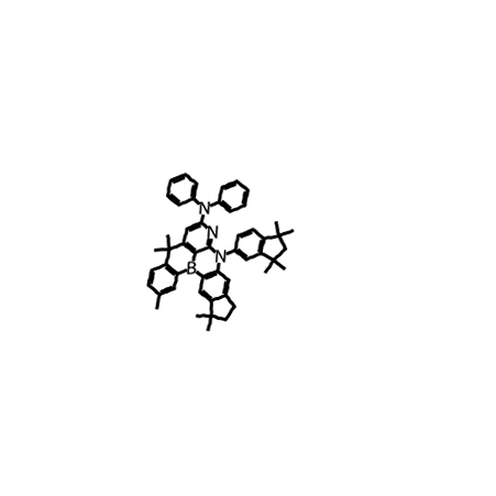 Cc1ccc2c(c1)B1c3cc4c(cc3N(c3ccc5c(c3)C(C)(C)CC5(C)C)c3nc(N(c5ccccc5)c5ccccc5)cc(c31)C2(C)C)CCC4(C)C